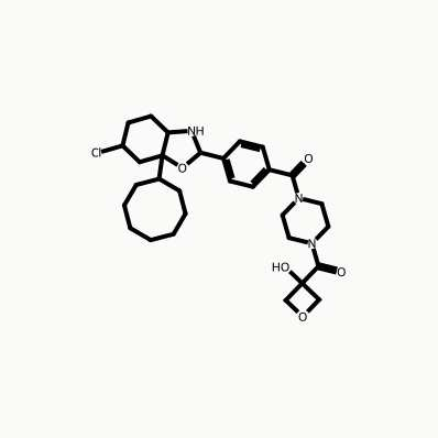 O=C(c1ccc(C2NC3CCC(Cl)CC3(C3CCCCCCC3)O2)cc1)N1CCN(C(=O)C2(O)COC2)CC1